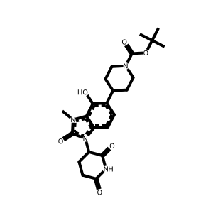 Cn1c(=O)n(C2CCC(=O)NC2=O)c2ccc(C3CCN(C(=O)OC(C)(C)C)CC3)c(O)c21